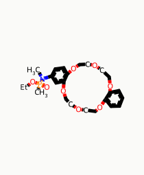 CCOP(C)(=O)N(C)c1ccc2c(c1)OCCOCCOc1ccccc1OCCOCCO2